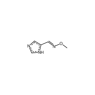 CON=Cc1cnc[nH]1